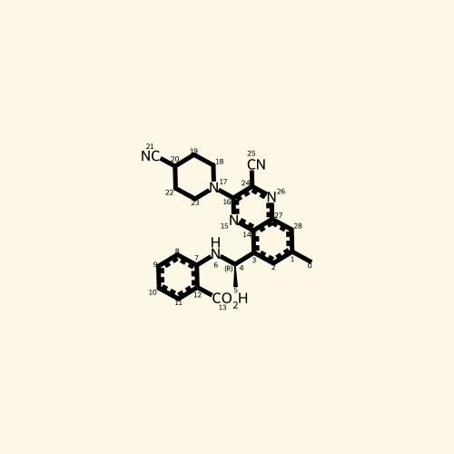 Cc1cc([C@@H](C)Nc2ccccc2C(=O)O)c2nc(N3CCC(C#N)CC3)c(C#N)nc2c1